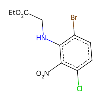 CCOC(=O)CNc1c(Br)ccc(Cl)c1[N+](=O)[O-]